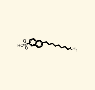 CCCCCCCCCc1ccc2cc(S(=O)(=O)O)ccc2c1